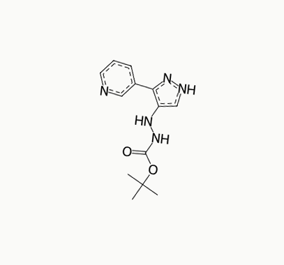 CC(C)(C)OC(=O)NNc1c[nH]nc1-c1cccnc1